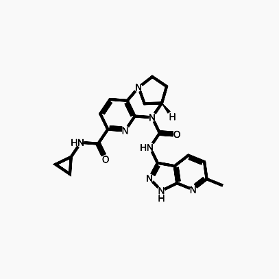 Cc1ccc2c(NC(=O)N3c4nc(C(=O)NC5CC5)ccc4N4CC[C@H]3C4)n[nH]c2n1